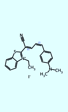 CC[n+]1c(/C(C#N)=C/C=C\c2ccc(N(C)C)cc2)sc2ccccc21.[I-]